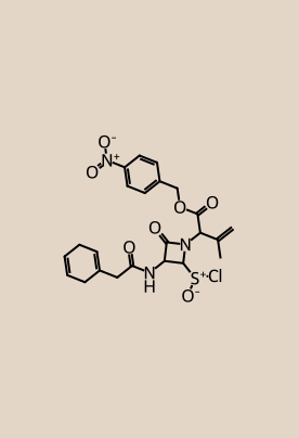 C=C(C)C(C(=O)OCc1ccc([N+](=O)[O-])cc1)N1C(=O)C(NC(=O)CC2=CCC=CC2)C1[S+]([O-])Cl